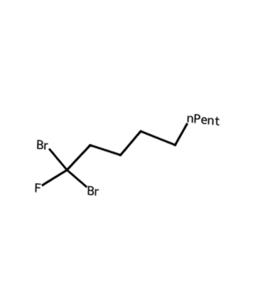 CCCCCCCCCC(F)(Br)Br